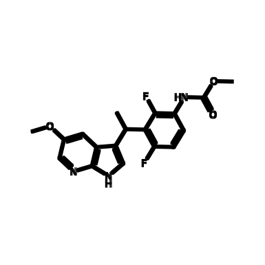 COC(=O)Nc1ccc(F)c(C(C)c2c[nH]c3ncc(OC)cc23)c1F